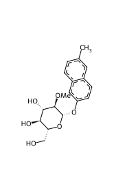 CO[C@H]1[C@H](Oc2ccc3cc(C)ccc3c2)O[C@H](CO)[C@@H](O)[C@@H]1O